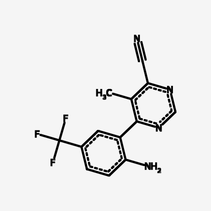 Cc1c(C#N)ncnc1-c1cc(C(F)(F)F)ccc1N